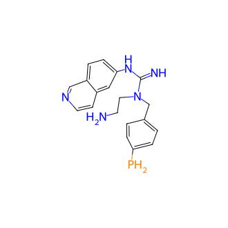 N=C(Nc1ccc2cnccc2c1)N(CCN)Cc1ccc(P)cc1